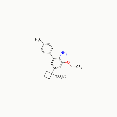 CCOC(=O)C1(c2cc(OCC(F)(F)F)c(N)c(-c3ccc(C)cc3)c2)CCC1